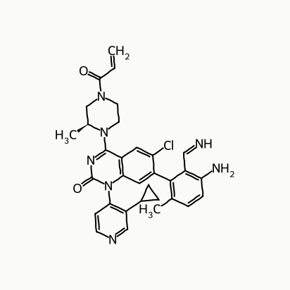 C=CC(=O)N1CCN(c2nc(=O)n(-c3ccncc3C3CC3)c3cc(-c4c(C)ccc(N)c4C=N)c(Cl)cc23)[C@@H](C)C1